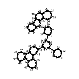 c1ccc(-c2nc(-c3cccc(-n4c5ccccc5c5ccc6ccccc6c54)c3)nc(-c3ccc4c5ccccc5c5ccccc5c4c3)n2)cc1